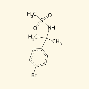 CC(C)(NS(C)(=O)=O)c1ccc(Br)cc1